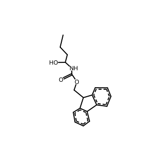 CCCC(O)NC(=O)OCC1c2ccccc2-c2ccccc21